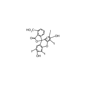 O=C(O)c1cccc2c1C(=O)OC21c2cc(I)c(O)c(I)c2Oc2c1cc(I)c(O)c2I